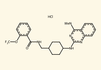 CNc1nc(NC2CCC(CNC(=O)c3ccccc3OC(F)(F)F)CC2)nc2ccccc12.Cl